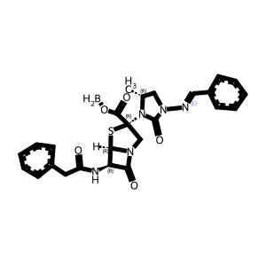 BOC(=O)[C@@]1(N2C(=O)N(/N=C/c3ccccc3)C[C@H]2C)CN2C(=O)[C@@H](NC(=O)Cc3ccccc3)[C@H]2S1